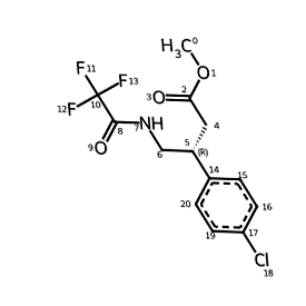 COC(=O)C[C@@H](CNC(=O)C(F)(F)F)c1ccc(Cl)cc1